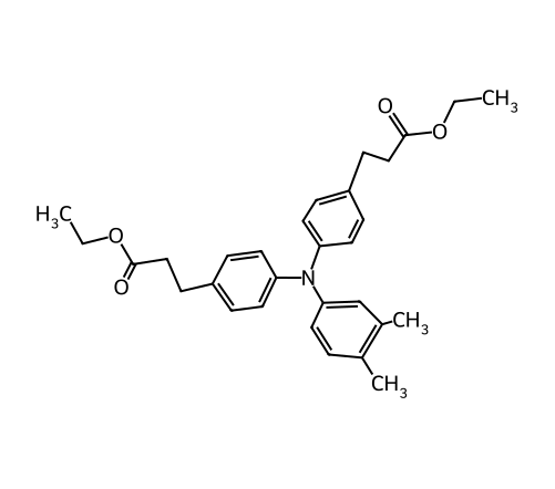 CCOC(=O)CCc1ccc(N(c2ccc(CCC(=O)OCC)cc2)c2ccc(C)c(C)c2)cc1